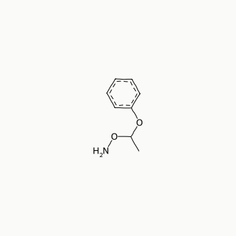 CC(ON)Oc1ccccc1